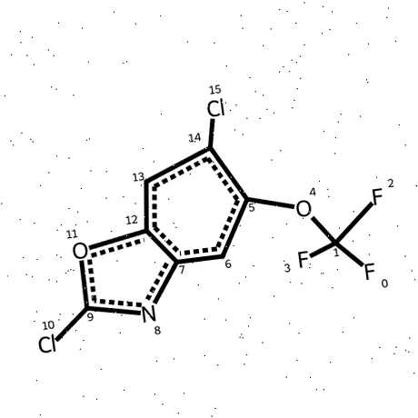 FC(F)(F)Oc1cc2nc(Cl)oc2cc1Cl